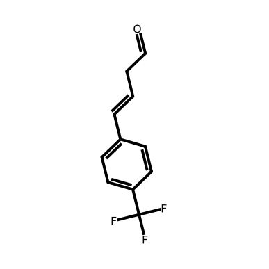 O=CCC=Cc1ccc(C(F)(F)F)cc1